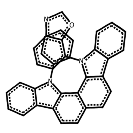 c1ccc(-n2c3ccccc3c3ccc4ccc5c6ccccc6n(-c6cccc7ncoc67)c5c4c32)cc1